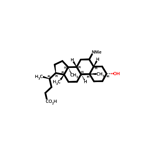 CNC1C[C@@H]2[C@H](CC[C@]3(C)[C@@H]([C@H](C)CCC(=O)O)CC[C@@]23C)[C@@]2(C)CC[C@@H](O)C[C@@H]12